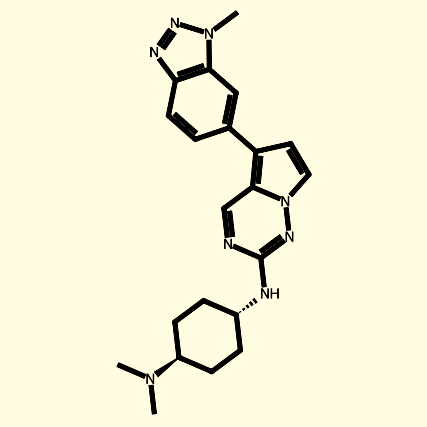 Cn1nnc2ccc(-c3ccn4nc(N[C@H]5CC[C@H](N(C)C)CC5)ncc34)cc21